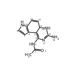 CC(=O)NC1=C2c3cc[nH]c3C=CC2NC(N)=N1